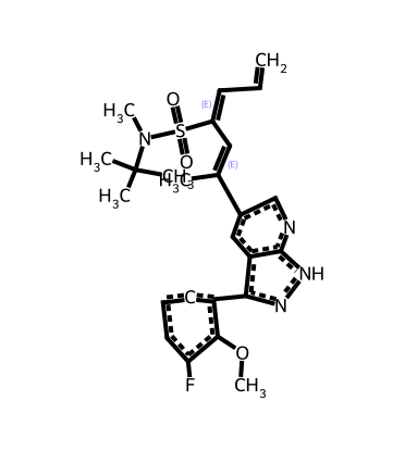 C=C/C=C(\C=C(/C)c1cnc2[nH]nc(-c3cccc(F)c3OC)c2c1)S(=O)(=O)N(C)C(C)(C)C